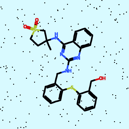 CC1(Nc2nc(NCc3ccccc3Sc3ccccc3CO)nc3ccccc23)CCS(=O)(=O)C1